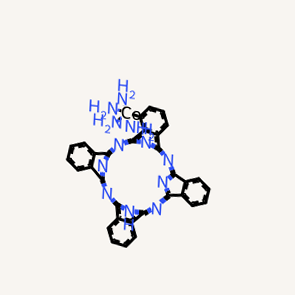 [NH2][Co]([NH2])([NH2])([NH2])[c]1cccc2c3nc4nc(nc5[nH]c(nc6nc(nc([nH]3)c12)-c1ccccc1-6)c1ccccc51)-c1ccccc1-4